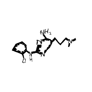 CN(C)CCCc1cnc(Nc2ccccc2Cl)nc1N